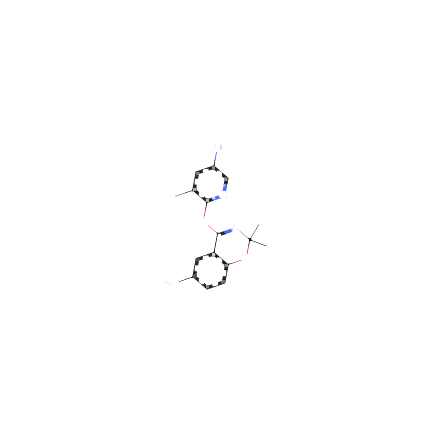 CC1(C)N=C(Oc2ncc(N)cc2Cl)c2cc(C#N)ccc2O1